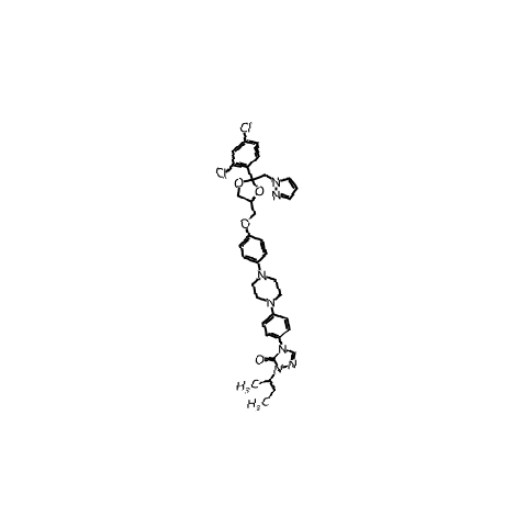 CCC(C)n1ncn(-c2ccc(N3CCN(c4ccc(OCC5COC(Cn6cccn6)(c6ccc(Cl)cc6Cl)O5)cc4)CC3)cc2)c1=O